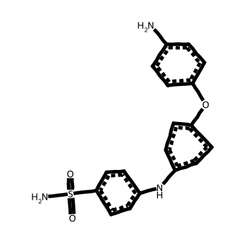 Nc1ccc(Oc2ccc(Nc3ccc(S(N)(=O)=O)cc3)cc2)cc1